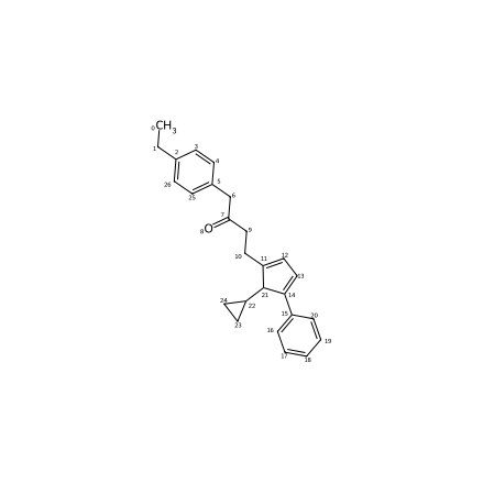 CCc1ccc(CC(=O)CCC2=CC=C(c3ccccc3)C2C2CC2)cc1